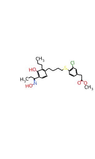 CCCc1c(CCCCSc2ccc(CC(=O)OC)cc2Cl)ccc(C(CC)=NO)c1O